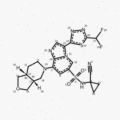 N#CC1(NS(=O)(=O)c2cc(N3CC[C@H]4COC[C@H]4C3)c3ncc(-c4nnc(C(F)F)s4)n3c2)CC1